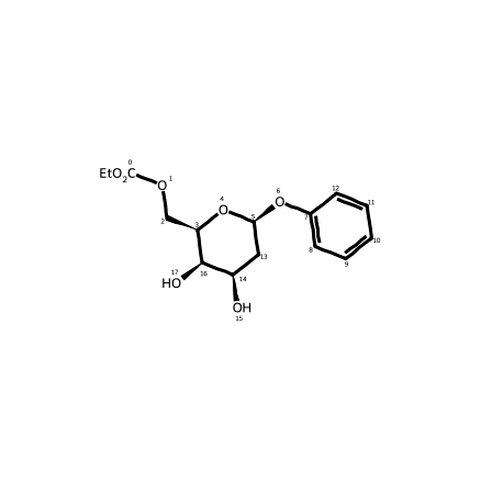 CCOC(=O)OC[C@H]1O[C@@H](Oc2ccccc2)C[C@@H](O)[C@H]1O